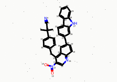 CC(C)(C#N)c1ccc(Cc2c([N+](=O)[O-])cnc3ccc(-c4ccc5c(c4)[nH]c4ccccc45)cc23)cc1